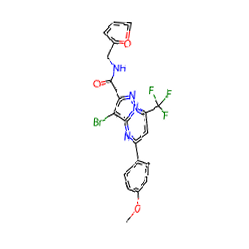 COc1ccc(-c2cc(C(F)(F)F)n3nc(C(=O)NCc4ccco4)c(Br)c3n2)cc1